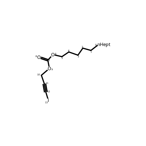 CCCCCCCCCCCCOC(=O)OCC#CI